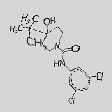 CC(C)(C)C1(O)CCN(C(=O)Nc2cc(Cl)cc(Cl)c2)CC1